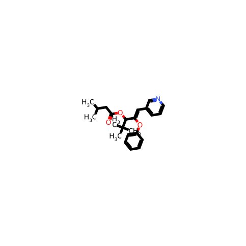 CC(C)CC(=O)OC(/C(=C/c1cccnc1)Oc1ccccc1)C(C)(C)C